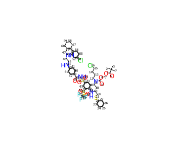 CC(C)(C)C(=O)OCOC(=O)N(CCCCCl)CC[C@H](CSc1ccccc1)Nc1ccc(S(=O)(=O)NC(=O)c2ccc(NCCNCC3=C(c4ccc(Cl)cc4)CCCC3)cc2)cc1S(=O)(=O)C(F)(F)F